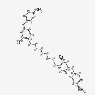 CCc1cc(Cc2ccc(N)cc2)ccc1CCCCCCCCCc1ccc(Cc2ccc(N)cc2)cc1CC